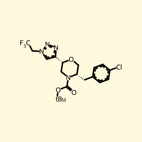 CC(C)(C)OC(=O)N1C[C@H](c2cn(CC(F)(F)F)nn2)OC[C@@H]1Cc1ccc(Cl)cc1